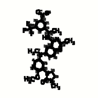 COc1ncc(N(C)c2ccc3nc(C)nc(N[C@H](C)c4cc([N+](=O)[O-])cc(C(F)(F)F)c4)c3c2)cc1N1CCN(C)C1=O